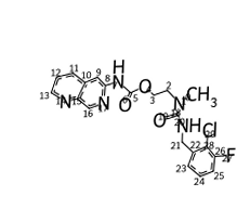 CN(CCOC(=O)Nc1cc2cccnc2cn1)C(=O)NCc1cccc(F)c1Cl